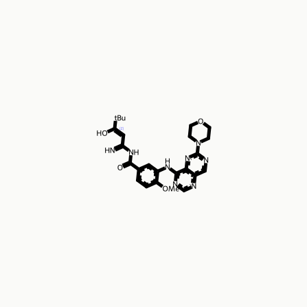 COc1ccc(C(=O)NC(=N)/C=C(\O)C(C)(C)C)cc1Nc1ncnc2cnc(N3CCOCC3)nc12